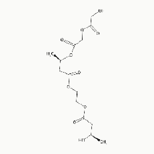 C[C@H](CC(=O)OCCOC(=O)C[C@@H](C)O)OC(=O)COC(=O)CO